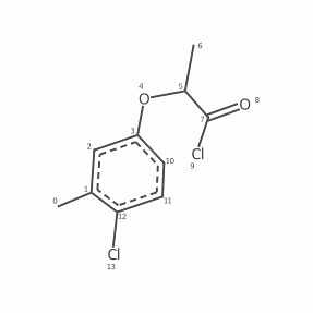 Cc1cc(OC(C)C(=O)Cl)ccc1Cl